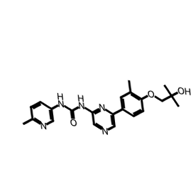 Cc1ccc(NC(=O)Nc2cncc(-c3ccc(OCC(C)(C)O)c(C)c3)n2)cn1